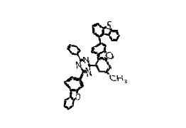 CC1C=C(c2nc(-c3ccccc3)nc(-c3ccc4c(c3)oc3ccccc34)n2)c2c(oc3cc(-c4cccc5sc6ccccc6c45)ccc23)C1